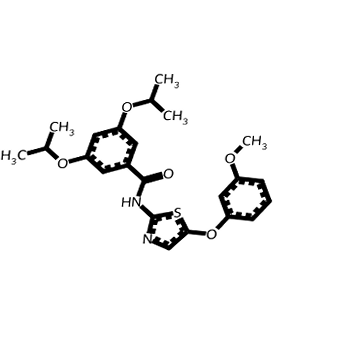 COc1cccc(Oc2cnc(NC(=O)c3cc(OC(C)C)cc(OC(C)C)c3)s2)c1